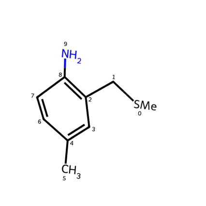 CSCc1cc(C)ccc1N